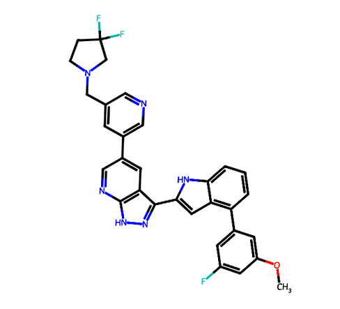 COc1cc(F)cc(-c2cccc3[nH]c(-c4n[nH]c5ncc(-c6cncc(CN7CCC(F)(F)C7)c6)cc45)cc23)c1